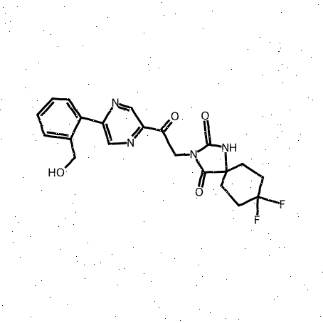 O=C(CN1C(=O)NC2(CCC(F)(F)CC2)C1=O)c1cnc(-c2ccccc2CO)cn1